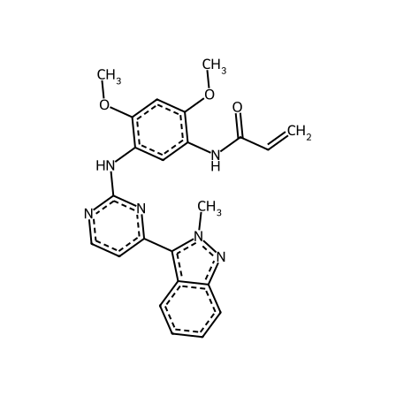 C=CC(=O)Nc1cc(Nc2nccc(-c3c4ccccc4nn3C)n2)c(OC)cc1OC